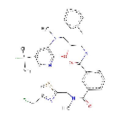 CN(Cc1nc(CF)cs1)C(=O)c1cccc(C(=O)N[C@@H](Cc2ccccc2)[C@H](O)CN(C)c2cncc(C(C)(C)F)c2)c1